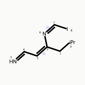 CC(C)CC(=C/C=N)/N=C\I